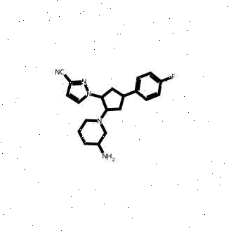 N#Cc1ccn(C2CC(c3ccc(F)cc3)CC2N2CCCC(N)C2)n1